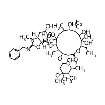 CC[C@H]1OC(=O)[C@H](C)[C@@H](O[C@H]2C[C@@](C)(OC)[C@@H](O)[C@H](C)O2)[C@H](C)[C@@H](O[C@@H]2O[C@H](C)C[C@H]3[C@H]2OC(=NCc2ccccc2)N3C)[C@](C)(OC)C[C@@H](C)[C@H](O)[C@H](C)[C@@H](O)[C@]1(C)O